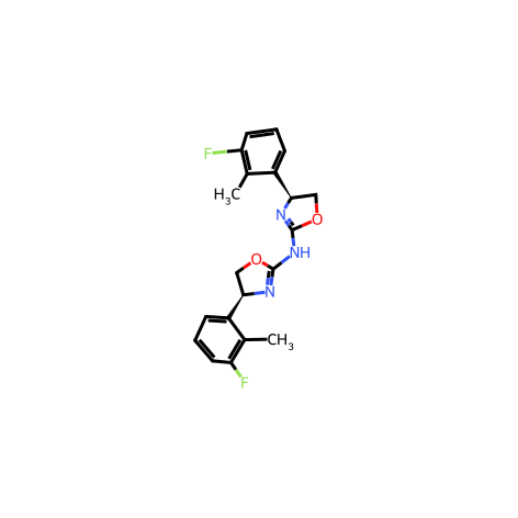 Cc1c(F)cccc1[C@H]1COC(NC2=N[C@@H](c3cccc(F)c3C)CO2)=N1